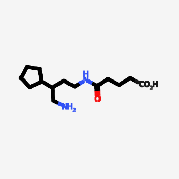 NCC(CCNC(=O)CCCC(=O)O)C1CCCC1